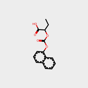 CCC(OC(=O)Oc1cccc2ccccc12)C(=O)O